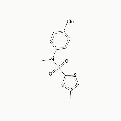 Cc1csc(S(=O)(=O)N(C)c2ccc(C(C)(C)C)cc2)n1